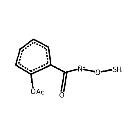 CC(=O)Oc1ccccc1C(=O)[N+]OS